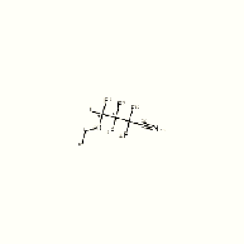 CCOC(C)(F)C(F)(F)C(F)(F)C#N